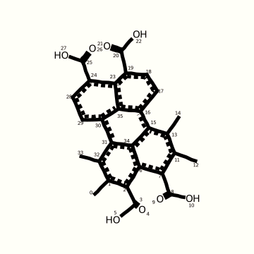 Cc1c(C(=O)O)c2c(C(=O)O)c(C)c(C)c3c4ccc(C(=O)O)c5c(C(=O)O)ccc(c(c1C)c23)c54